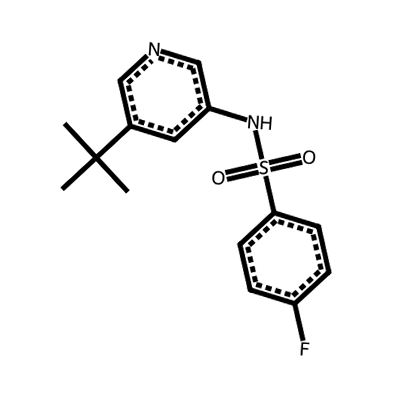 CC(C)(C)c1cncc(NS(=O)(=O)c2ccc(F)cc2)c1